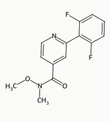 CON(C)C(=O)c1ccnc(-c2c(F)cccc2F)c1